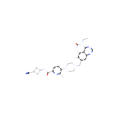 CCN1C(=O)Nc2c(F)c(CN3CCN(c4ccc(C(=O)NC5CC(C#N)C5)nc4C)CC3)cc3ncnc1c23